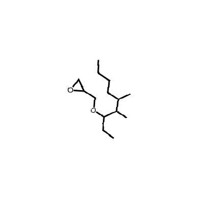 CCCCC(C)C(C)C(CC)OCC1CO1